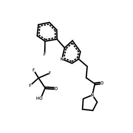 O=C(CCc1ccc(-c2ccccc2F)nc1)N1CCCC1.O=C(O)C(F)(F)F